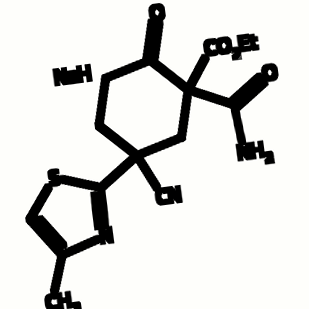 CCOC(=O)C1(C(N)=O)CC(C#N)(c2nc(C)cs2)CCC1=O.[NaH]